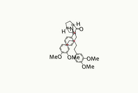 COc1ccc(CCC(Cc2ccc(OC)c(OC)c2)CN2C[C@H]3CC[C@@H](C2=O)N3Cc2ccccc2)cc1OC